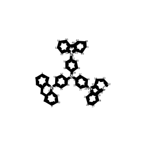 c1ccc2c(c1)Cc1ccccc1N2c1ccc(N(c2ccc(-n3c4ccccc4c4ccccc43)cc2)c2ccc(-n3c4ccccc4c4ccccc43)cc2)cc1